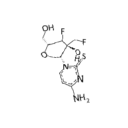 Nc1ccn([C@@H]2O[C@H](CO)C(F)[C@]2(O)CF)c(=S)n1